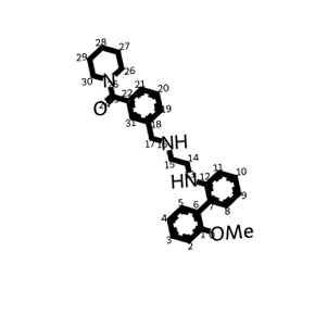 COc1ccccc1-c1ccccc1NCCNCc1cccc(C(=O)N2CCCCC2)c1